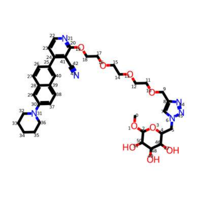 COC1OC(Cn2cc(COCCOCCOCCOc3nccc(-c4ccc5cc(N6CCCCC6)ccc5c4)c3C#N)nn2)C(O)C(O)C1O